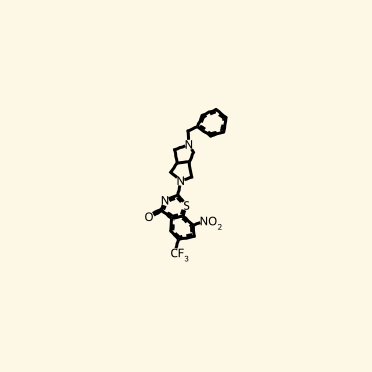 O=c1nc(N2CC3CN(Cc4ccccc4)CC3C2)sc2c([N+](=O)[O-])cc(C(F)(F)F)cc12